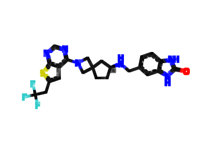 O=c1[nH]c2ccc(CN[C@H]3CCC4(C3)CN(c3ncnc5sc(CC(F)(F)F)cc35)C4)cc2[nH]1